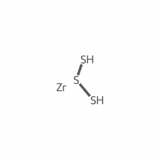 SSS.[Zr]